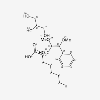 CCCCCCCC(=O)O.COC(C(=O)O)=C(OC)c1ccccc1.OCC(O)CO